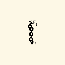 CCCC1CCC(c2ccc(-c3ccc4cc(OC(F)(F)F)ccc4c3)cc2)CC1